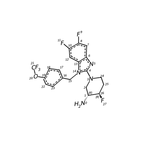 N[C@@H]1CN(c2nc3cc(F)c(F)cc3n2Cc2ccc(OC(F)(F)F)cc2)CC[C@H]1F